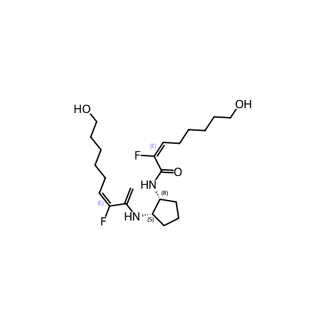 C=C(N[C@H]1CCC[C@H]1NC(=O)/C(F)=C\CCCCCO)/C(F)=C\CCCCCO